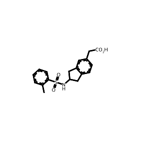 Cc1ccccc1S(=O)(=O)NC1Cc2ccc(CC(=O)O)cc2C1